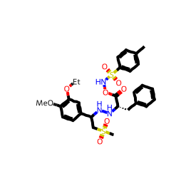 CCOc1cc(C(CS(C)(=O)=O)NN[C@@H](Cc2ccccc2)C(=O)ONS(=O)(=O)c2ccc(C)cc2)ccc1OC